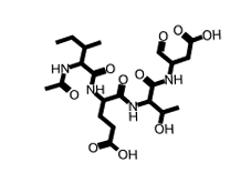 CCC(C)C(NC(C)=O)C(=O)NC(CCC(=O)O)C(=O)NC(C(=O)NC(C=O)CC(=O)O)C(C)O